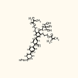 C=C(C)C(=O)OCCCc1cc(-c2ccc(-c3ccc(C4CCC(CCCCC)CC4)cc3)c(CC)c2)cc(CCCOC(=O)C(=C)C)c1OCCC(CO)(CO)CCC